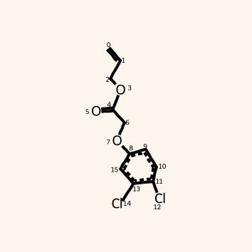 C=CCOC(=O)COc1ccc(Cl)c(Cl)c1